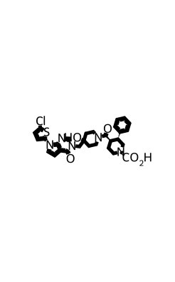 O=C(O)N1CC[C@@H](C(=O)N2CCC(O)(Cn3cnc4c(ccn4-c4ccc(Cl)s4)c3=O)CC2)[C@H](c2ccccc2)C1